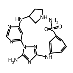 Nc1nc(Nc2cccc(S(N)(=O)=O)c2)nn1-c1cc(NC2CCNC2)ncn1